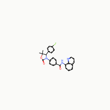 CC1(C)OC(=O)N(c2ccc(C(=O)Nc3cccc4cccnc34)cc2)C1c1ccc(F)cc1